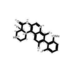 COc1cccc(F)c1-c1c(Cl)cc2c3c(cnc2c1F)OC(=O)[C@H]1CNCCN31